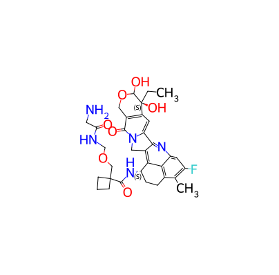 CC[C@]1(O)c2cc3n(c(=O)c2COC1O)Cc1c-3nc2cc(F)c(C)c3c2c1[C@@H](NC(=O)C1(COCNC(=O)CN)CCC1)CC3